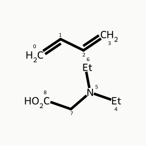 C=CC=C.CCN(CC)CC(=O)O